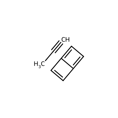 C#CC.c1cc2ccc1-2